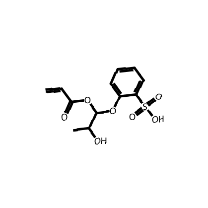 C=CC(=O)OC(Oc1ccccc1S(=O)(=O)O)C(C)O